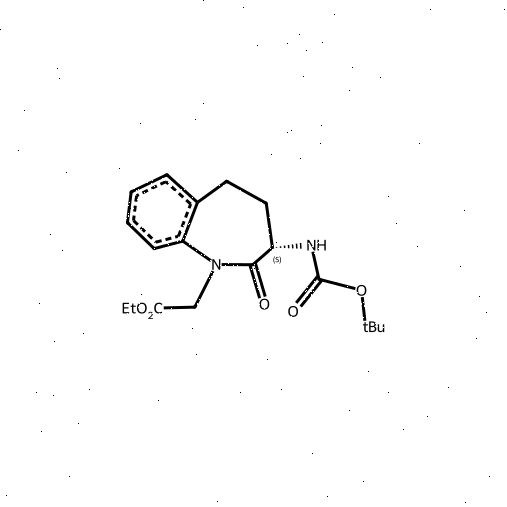 CCOC(=O)CN1C(=O)[C@@H](NC(=O)OC(C)(C)C)CCc2ccccc21